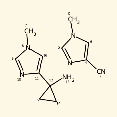 Cn1cnc(C#N)c1.Cn1cnc(C2(N)CC2)c1